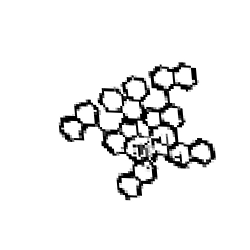 C[SiH](C)[Zr]([Cl])([Cl])([CH]1C(CC2CCCCC2)=Cc2c(-c3cccc4ccccc34)ccc(-c3cccc4ccccc34)c21)[CH]1C(CC2CCCCC2)=Cc2c(-c3cccc4ccccc34)ccc(-c3cccc4ccccc34)c21